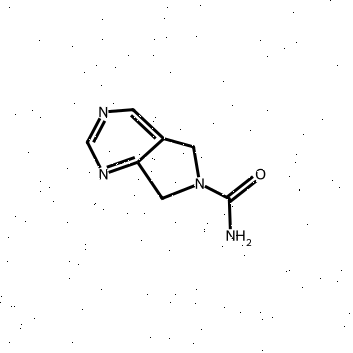 NC(=O)N1Cc2cncnc2C1